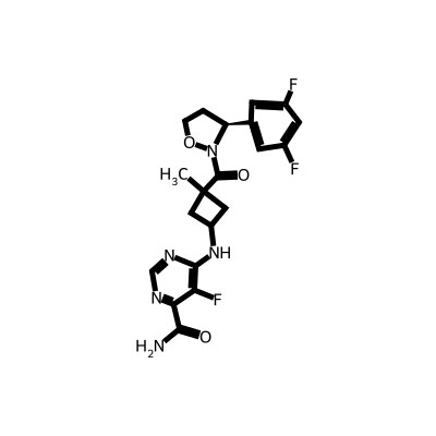 CC1(C(=O)N2OCC[C@H]2c2cc(F)cc(F)c2)CC(Nc2ncnc(C(N)=O)c2F)C1